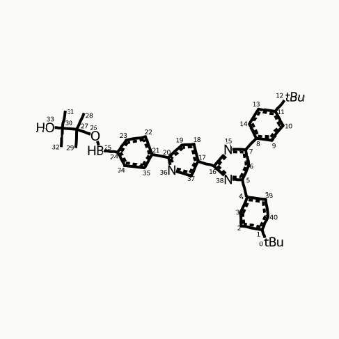 CC(C)(C)c1ccc(-c2cc(-c3ccc(C(C)(C)C)cc3)nc(-c3ccc(-c4ccc(BOC(C)(C)C(C)(C)O)cc4)nc3)n2)cc1